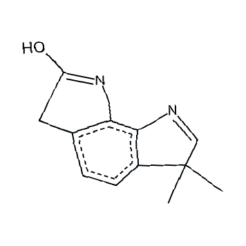 CC1(C)C=Nc2c1ccc1c2N=C(O)C1